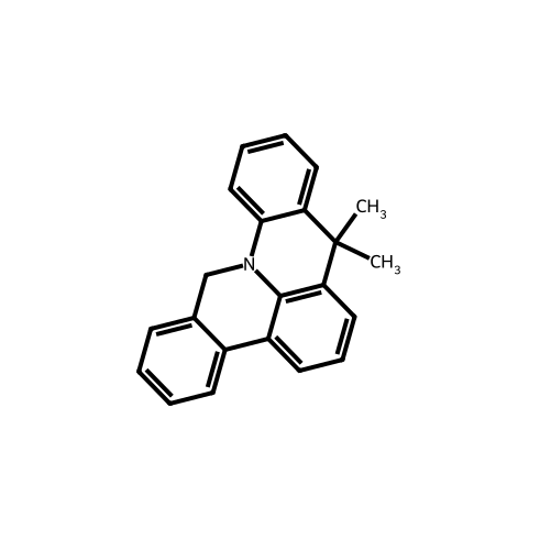 CC1(C)c2ccccc2N2Cc3ccccc3-c3cccc1c32